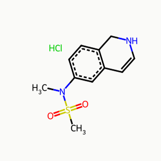 CN(c1ccc2c(c1)C=CNC2)S(C)(=O)=O.Cl